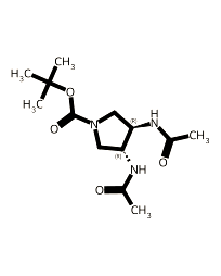 CC(=O)N[C@@H]1CN(C(=O)OC(C)(C)C)C[C@H]1NC(C)=O